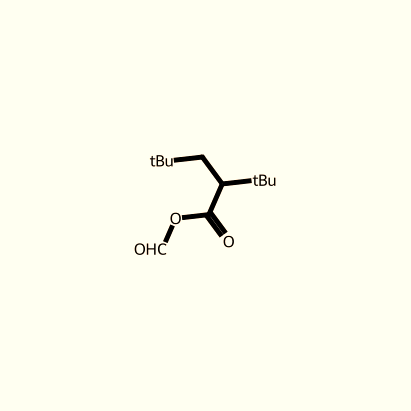 CC(C)(C)CC(C(=O)OC=O)C(C)(C)C